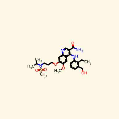 CCc1c(CO)cccc1Nc1c(C(N)=O)cnc2cc(OCCCN(C(C)C)S(C)(=O)=O)c(OC)cc12